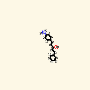 CN(C)c1ccc(/C=C/C(=O)/C=C/c2ccccc2)cc1